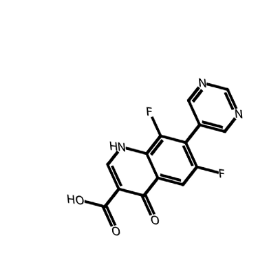 O=C(O)c1c[nH]c2c(F)c(-c3cncnc3)c(F)cc2c1=O